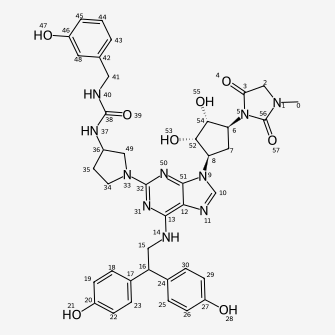 CN1CC(=O)N([C@H]2C[C@@H](n3cnc4c(NCC(c5ccc(O)cc5)c5ccc(O)cc5)nc(N5CCC(NC(=O)NCc6cccc(O)c6)C5)nc43)[C@H](O)[C@@H]2O)C1=O